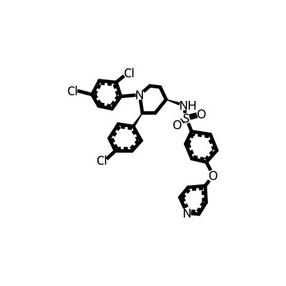 O=S(=O)(N[C@@H]1CCN(c2ccc(Cl)cc2Cl)[C@H](c2ccc(Cl)cc2)C1)c1ccc(Oc2ccncc2)cc1